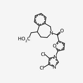 O=C(O)CC1CCN(C(=O)c2ccc(-n3cnc(Cl)c3Cl)o2)Cc2ccccc21